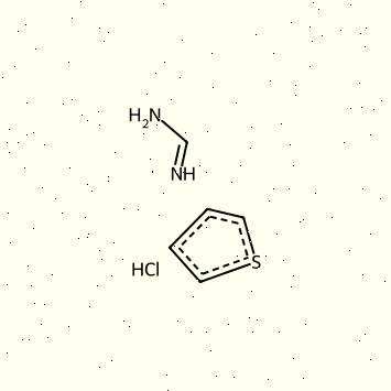 Cl.N=CN.c1ccsc1